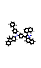 Cn1c(-c2cccc3ccccc23)c(-c2ccc(N(c3ccc(-c4ccccc4)cc3)c3ccc4c(c3)C(C)(C)c3ccccc3-4)cc2)c2ccc3ccccc3c21